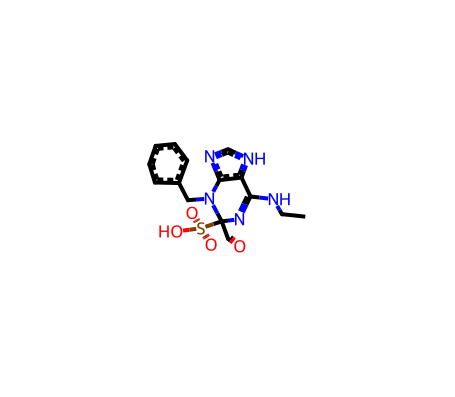 CCNC1=NC(C=O)(S(=O)(=O)O)N(Cc2ccccc2)c2nc[nH]c21